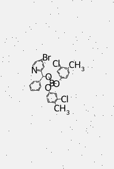 Cc1ccc(OB(Oc2ccc(C)c(Cl)c2)OC(c2ccccc2)c2cc(Br)ccn2)cc1Cl